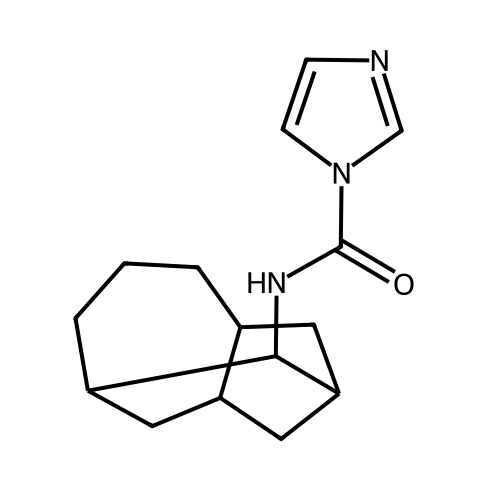 O=C(NC1C2CCCC3CC1CC3C2)n1ccnc1